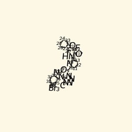 Cn1nnnc1-n1c(OCc2cccc(NC(=O)C(F)(F)Oc3ccccc3)n2)nc2ccc(Br)cc21